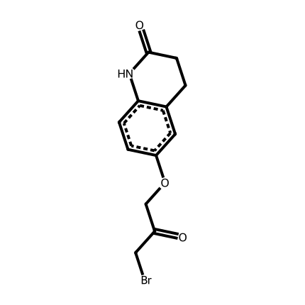 O=C(CBr)COc1ccc2c(c1)CCC(=O)N2